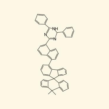 CC1(C)c2ccccc2C2(c3ccccc3-c3c(-c4cccc5c(C6=NC(c7ccccc7)NC(c7ccccc7)=N6)cccc45)cccc32)c2ccccc21